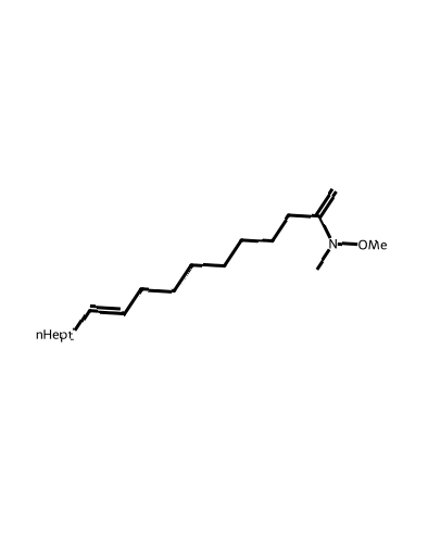 C=C(CCCCCCC/C=C/CCCCCCC)N(C)OC